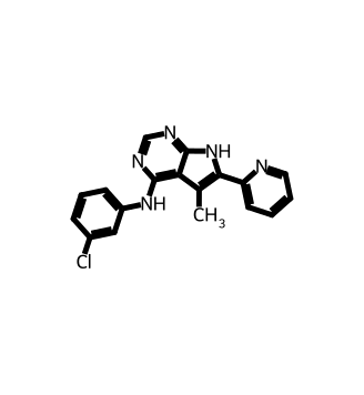 Cc1c(-c2ccccn2)[nH]c2ncnc(Nc3cccc(Cl)c3)c12